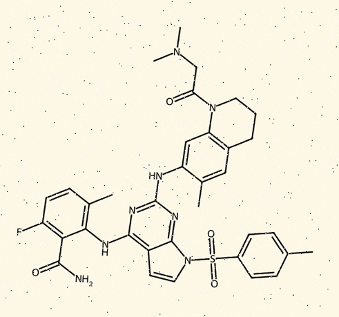 Cc1ccc(S(=O)(=O)n2ccc3c(Nc4c(C)ccc(F)c4C(N)=O)nc(Nc4cc5c(cc4C)CCCN5C(=O)CN(C)C)nc32)cc1